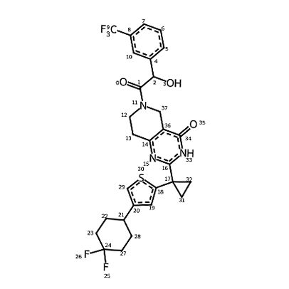 O=C(C(O)c1cccc(C(F)(F)F)c1)N1CCc2nc(C3(c4cc(C5CCC(F)(F)CC5)cs4)CC3)[nH]c(=O)c2C1